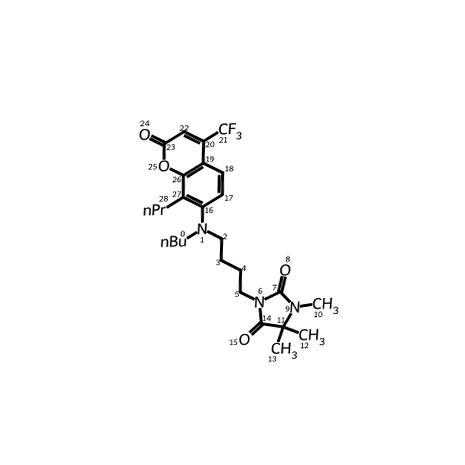 CCCCN(CCCCN1C(=O)N(C)C(C)(C)C1=O)c1ccc2c(C(F)(F)F)cc(=O)oc2c1CCC